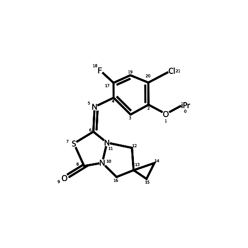 CC(C)Oc1cc(N=c2sc(=O)n3n2CC2(CC2)C3)c(F)cc1Cl